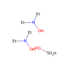 CCN(O)CC.CCN(O)CC.O=S(=O)(O)O